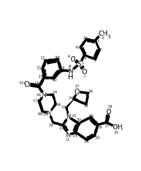 Cc1ccc(S(=O)(=O)Nc2cccc(C(=O)N3CCN(Cc4nc5ccc(C(=O)O)cc5n4C[C@@H]4CCO4)CC3)c2)cc1